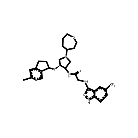 Cc1cc2c(cn1)C(S[C@H]1CN(C3CCCOCC3)CC1NC(=O)CNc1n[nH]c3ccc(C(F)(F)F)cc13)CC2